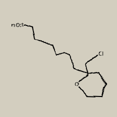 CCCCCCCCCCCCCCC1(CCl)CCCCO1